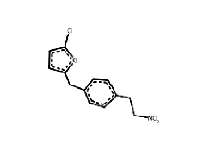 O=[N+]([O-])CCc1ccc(Cc2ccc(Cl)o2)cc1